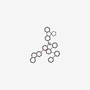 c1ccc(-c2ccccc2-c2ccccc2-c2ccccc2N(c2ccc(-c3ccc4c(ccc5ccccc54)c3)cc2)c2ccc3c(c2)C2(CCCC2)c2ccccc2-3)cc1